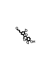 COc1cc(C2Oc3c(OC)cc(/C=C/C=O)cc3C2CO)ccc1O